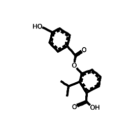 CC(C)c1c(OC(=O)c2ccc(O)cc2)cccc1C(=O)O